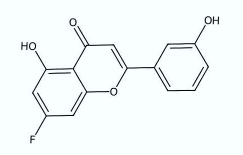 O=c1cc(-c2cccc(O)c2)oc2cc(F)cc(O)c12